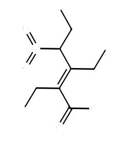 CCC(C(=O)O)=C(CC)C(CC)P(=O)=O